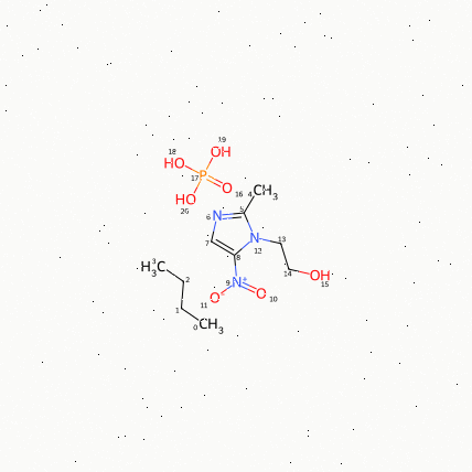 CCCC.Cc1ncc([N+](=O)[O-])n1CCO.O=P(O)(O)O